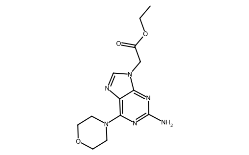 CCOC(=O)Cn1cnc2c(N3CCOCC3)nc(N)nc21